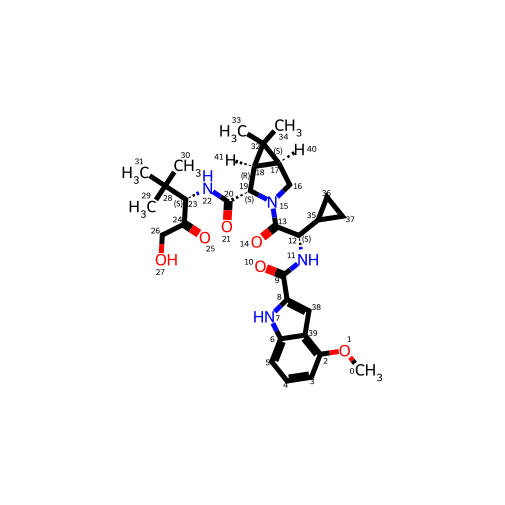 COc1cccc2[nH]c(C(=O)N[C@H](C(=O)N3C[C@H]4[C@@H]([C@H]3C(=O)N[C@H](C(=O)CO)C(C)(C)C)C4(C)C)C3CC3)cc12